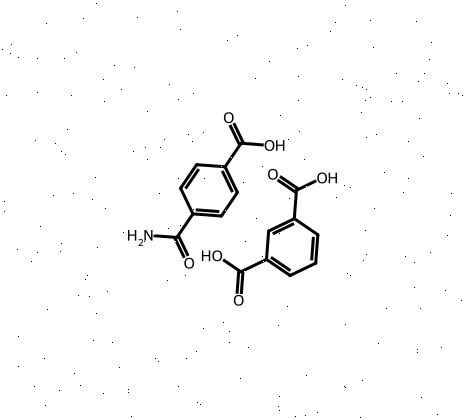 NC(=O)c1ccc(C(=O)O)cc1.O=C(O)c1cccc(C(=O)O)c1